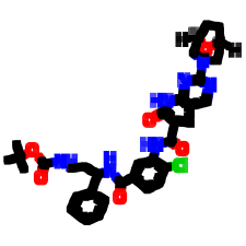 CC(C)(C)OC(=O)NCCC(NC(=O)c1ccc(Cl)c(NC(=O)c2cc3cnc(N4C[C@H]5CC[C@@H](C4)O5)nc3[nH]c2=O)c1)c1ccccc1